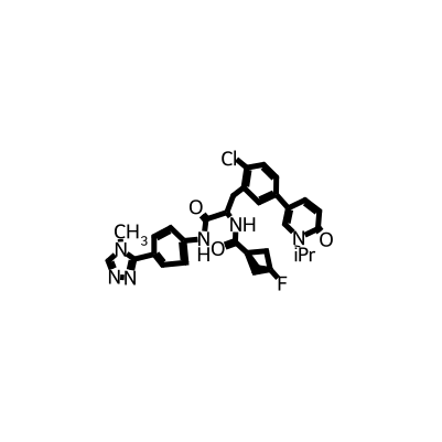 CC(C)n1cc(-c2ccc(Cl)c(CC(NC(=O)C34CC(F)(C3)C4)C(=O)Nc3ccc(-c4nncn4C)cc3)c2)ccc1=O